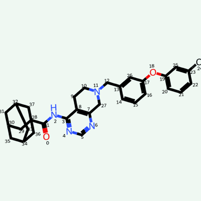 O=C(Nc1ncnc2c1CCN(Cc1cccc(Oc3cccc(C(F)(F)F)c3)c1)C2)C12CC3CC(CC(C3)C1)C2